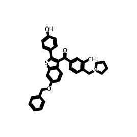 Cc1cc(C(=O)c2c(-c3ccc(O)cc3)sc3cc(OCc4ccccc4)ccc23)ccc1CN1CCCC1